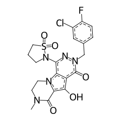 CN1CCn2c(c(O)c3c(=O)n(Cc4ccc(F)c(Cl)c4)nc(N4CCCS4(=O)=O)c32)C1=O